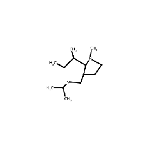 CCC(C)C1C(CNC(C)C)CCN1C